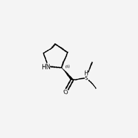 C[SH](C)C(=O)[C@@H]1CCCN1